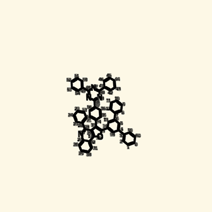 c1ccc(-c2cc(-c3ccccc3)cc(-c3oc4c(c(-c5ccccc5)nc5ccccc54)c3-c3ccc(-c4nc(-c5ccccc5)nc(-c5ccccc5)n4)cc3)c2)cc1